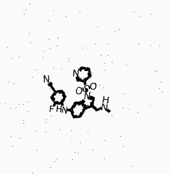 CNCc1cn(S(=O)(=O)c2cccnc2)c2cc(Nc3ccc(C#N)cc3F)ccc12